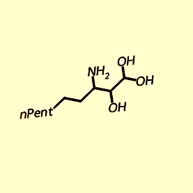 CCCCCCCC(N)C(O)C(O)O